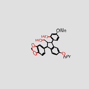 CCCOc1ccc2c(c1)C(c1ccc(OC)cc1O)C(CO)C2c1ccc2c(c1)OCO2